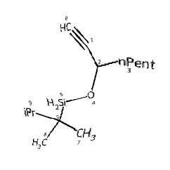 C#CC(CCCCC)O[SiH2]C(C)(C)C(C)C